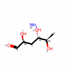 C[C@@H](O)[C@@H](O)C[C@H](O)C=O.N